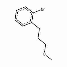 COCCCc1ccccc1Br